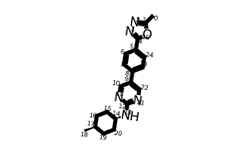 Cc1nnc(-c2ccc(-c3cnc(N[C@H]4CC[C@H](C)CC4)nc3)cc2)o1